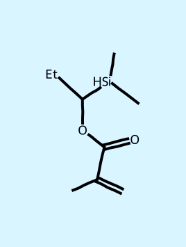 C=C(C)C(=O)OC(CC)[SiH](C)C